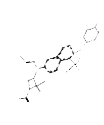 CCCN(c1ccc2c(C(F)(F)F)c(OC3CCC(C)CC3)ccc2c1)C1CC(C(=O)O)C1(C)C